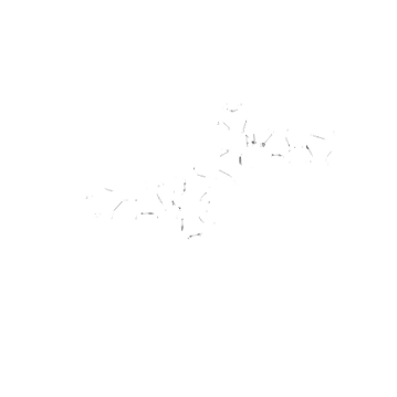 C1=CC(C2C=CC(n3c4ccccc4c4cc(-c5ccc6c(c5)c5ccccc5n6-c5ccc(-c6ccccc6)cc5)ccc43)=CC2)=CCC1